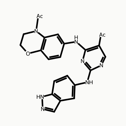 CC(=O)c1cnc(Nc2ccc3[nH]ncc3c2)nc1Nc1ccc2c(c1)N(C(C)=O)CCO2